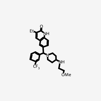 CCc1cc2cc(C(c3cccc(C(F)(F)F)c3)N3CCC(NCCOC)CC3)ccc2[nH]c1=O